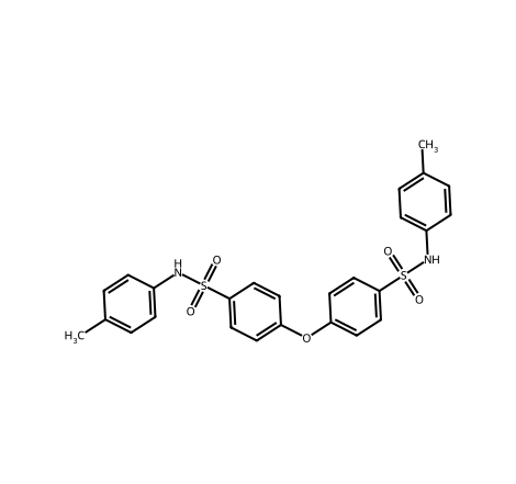 Cc1ccc(NS(=O)(=O)c2ccc(Oc3ccc(S(=O)(=O)Nc4ccc(C)cc4)cc3)cc2)cc1